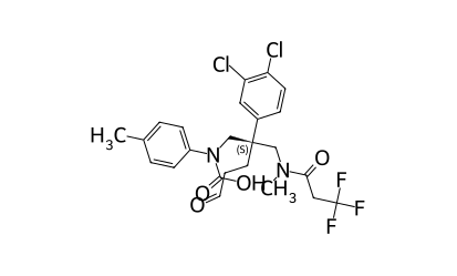 Cc1ccc(N(C[C@](CCC=O)(CN(C)C(=O)CC(F)(F)F)c2ccc(Cl)c(Cl)c2)C(=O)O)cc1